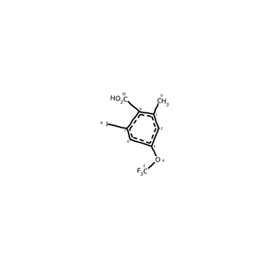 Cc1cc(OC(F)(F)F)cc(I)c1C(=O)O